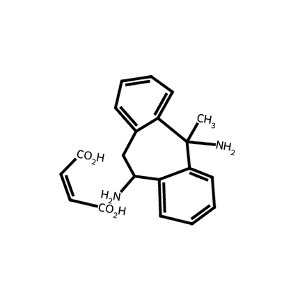 CC1(N)c2ccccc2CC(N)c2ccccc21.O=C(O)/C=C\C(=O)O